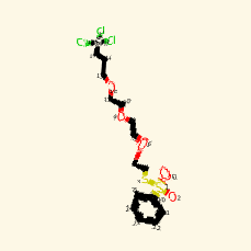 O=S(=O)(SCCOCCOCCOCCC[Si](Cl)(Cl)Cl)c1ccccc1